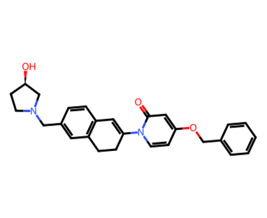 O=c1cc(OCc2ccccc2)ccn1C1=Cc2ccc(CN3CC[C@@H](O)C3)cc2CC1